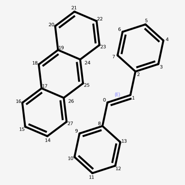 C(=C\c1ccccc1)/c1ccccc1.c1ccc2cc3ccccc3cc2c1